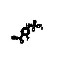 CC(C)(C)C(=O)c1ccc(NS(=O)(=O)C(F)(F)F)cc1F